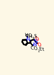 CCOC(=O)C1c2c(n(C)c3ccccc23)C2CN1C(=O)N2OS(=O)(=O)O